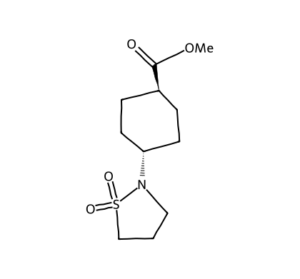 COC(=O)[C@H]1CC[C@H](N2CCCS2(=O)=O)CC1